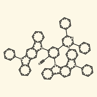 N#Cc1c(-n2c3ccccc3c3cc4c(cc32)c2ccccc2n4-c2ccccc2)cc(-c2cc(-c3ccccc3)nc(-c3ccccc3)n2)cc1-n1c2ccccc2c2ccc3c(c4ccccc4n3-c3ccccc3)c21